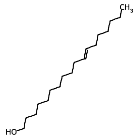 CCCCCCC=CCCCCCCCCCCO